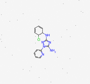 Nc1nc(NC2C=CC=CC2Cl)nn1-c1ccccn1